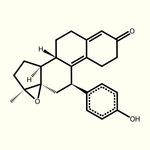 C[C@]12CC[C@H]3[C@@H]4CCC5=CC(=O)CCC5=C4[C@@H](c4ccc(O)cc4)C[C@@]31O2